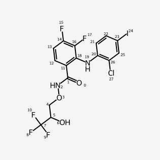 O=C(NOCC(O)C(F)(F)F)c1ccc(F)c(F)c1Nc1ccc(I)cc1Cl